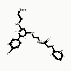 CC(=O)NCCNc1cc(NCCNC(=O)C=Cc2ccccn2)nc(-c2ccc(Cl)cc2)n1